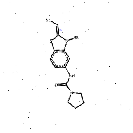 CCN1/C(=C/C(C)=O)Sc2ccc(NC(=O)N3CCCC3)cc21